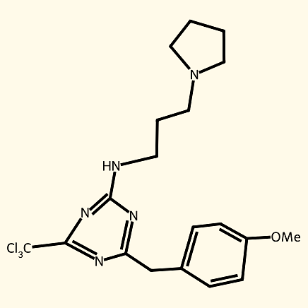 COc1ccc(Cc2nc(NCCCN3CCCC3)nc(C(Cl)(Cl)Cl)n2)cc1